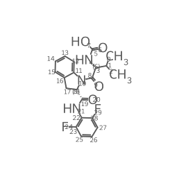 CC(C)[C@H](NC(=O)O)C(=O)N1c2ccccc2C[C@H]1C(=O)Nc1c(F)cccc1F